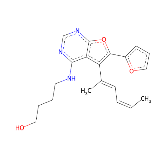 C/C=C\C=C(/C)c1c(-c2ccco2)oc2ncnc(NCCCCO)c12